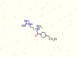 CCOC(=O)CC1CCN(C(=O)[C@H](CCCNC(=N)N)N[N+](=O)[O-])CC1